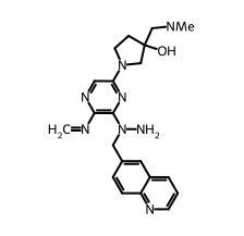 C=Nc1ncc(N2CCC(O)(CNC)C2)nc1N(N)Cc1ccc2ncccc2c1